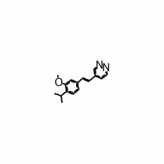 COc1cc(/C=C/c2ccnnc2)ccc1C(C)C